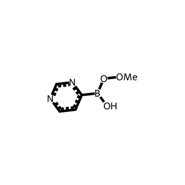 COOB(O)c1ccncn1